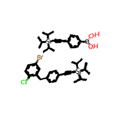 CC(C)[Si](C#Cc1ccc(B(O)O)cc1)(C(C)C)C(C)C.CC(C)[Si](C#Cc1ccc(Cc2cc(Br)ccc2Cl)cc1)(C(C)C)C(C)C